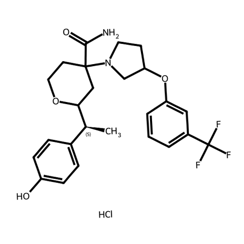 C[C@@H](c1ccc(O)cc1)C1CC(C(N)=O)(N2CCC(Oc3cccc(C(F)(F)F)c3)C2)CCO1.Cl